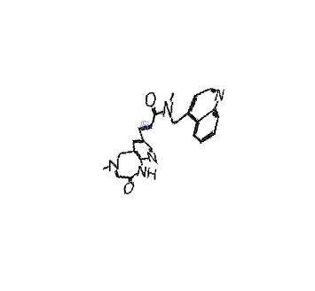 CN1CC(=O)Nc2ncc(/C=C/C(=O)N(C)Cc3ccnc4ccccc34)cc2C1